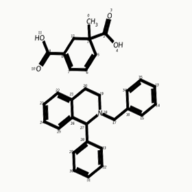 CC1(C(=O)O)C=CC=C(C(=O)O)C1.c1ccc(CN2CCc3ccccc3C2c2ccccc2)cc1